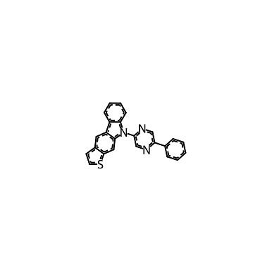 c1ccc(-c2cnc(-n3c4ccccc4c4cc5ccsc5cc43)cn2)cc1